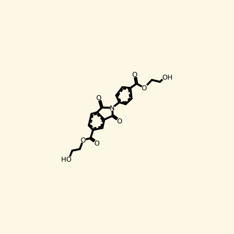 O=C(OCCO)c1ccc(N2C(=O)c3ccc(C(=O)OCCO)cc3C2=O)cc1